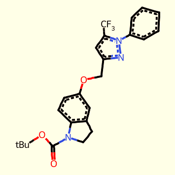 CC(C)(C)OC(=O)N1CCc2cc(OCc3cc(C(F)(F)F)n(-c4ccccc4)n3)ccc21